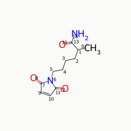 CC(CCCCN1C(=O)C=CC1=O)C(N)=O